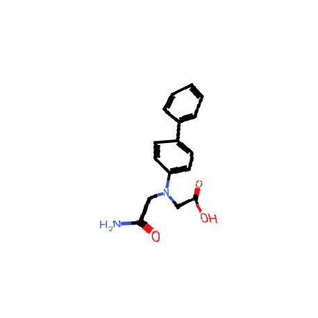 NC(=O)CN(CC(=O)O)c1ccc(-c2ccccc2)cc1